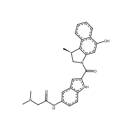 C[C@@H]1CN(C(=O)c2cc3cc(NC(=O)CN(C)C)ccc3[nH]2)c2cc(O)c3ccccc3c21